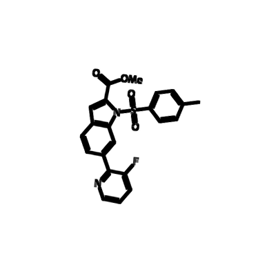 COC(=O)c1cc2ccc(-c3ncccc3F)cc2n1S(=O)(=O)c1ccc(C)cc1